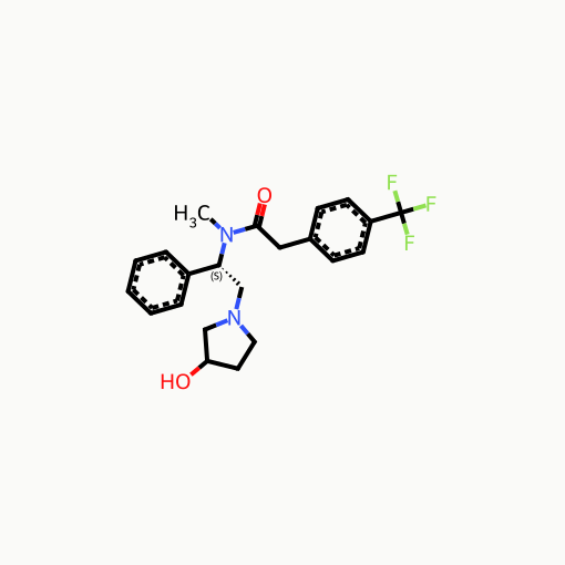 CN(C(=O)Cc1ccc(C(F)(F)F)cc1)[C@H](CN1CCC(O)C1)c1ccccc1